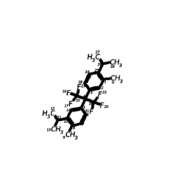 Cc1cc(C(c2ccc(C)c(C(C)C)c2)(C(F)(F)F)C(F)(F)F)ccc1C(C)C